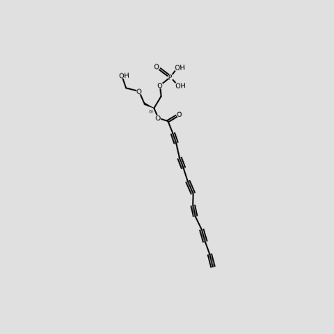 C#CC#CC#CC#CC#CC#CC(=O)O[C@@H](COCO)COP(=O)(O)O